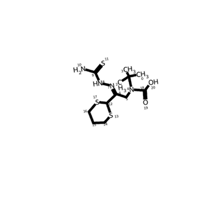 CC(C)(C)N(CC(=NNC(N)=S)C1SCCCS1)C(=O)O